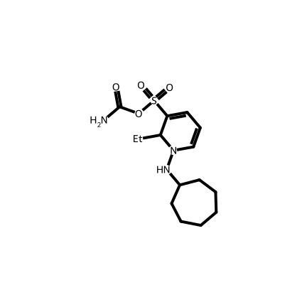 CCC1C(S(=O)(=O)OC(N)=O)=CC=CN1NC1CCCCCC1